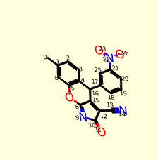 Cc1ccc2c(c1)OC1=NC(=O)C(C#N)=C1C2c1cccc([N+](=O)[O-])c1